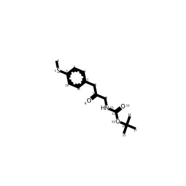 CSc1ccc(CC(=O)CNC(=O)OC(C)(C)C)cc1